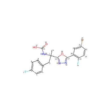 CC(Cc1ccc(F)cc1)(NC(=O)O)c1nnc(-c2cc(Br)ccc2F)o1